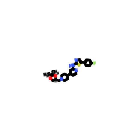 CC1(C)OC[C@H](CN2CCC(c3ccnc(Nc4ncc(-c5ccc(F)cc5)s4)c3)CC2)O1